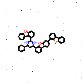 C1=CCC(C2=CC(c3cccc4c3oc3cc(-c5cccc6c5sc5ccccc56)ccc34)NC(c3cccc4oc5ccccc5c34)N2)C=C1